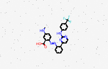 CNc1ccc(/N=N/c2ccccc2-c2ccnc(Nc3ccc(C(F)(F)F)cc3)n2)c(C(=O)O)c1